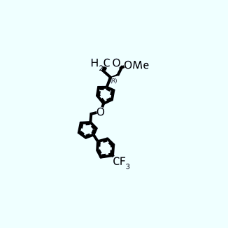 C=C[C@@H](CC(=O)OC)c1ccc(OCc2cccc(-c3ccc(C(F)(F)F)cc3)c2)cc1